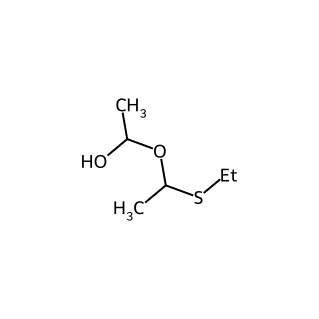 CCSC(C)OC(C)O